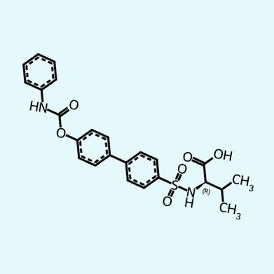 CC(C)[C@@H](NS(=O)(=O)c1ccc(-c2ccc(OC(=O)Nc3ccccc3)cc2)cc1)C(=O)O